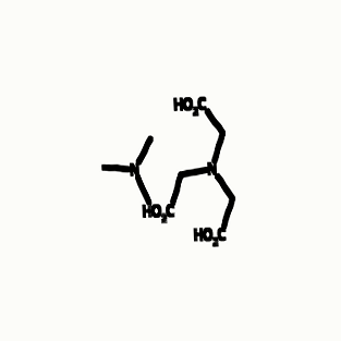 CN(C)C.O=C(O)CN(CC(=O)O)CC(=O)O